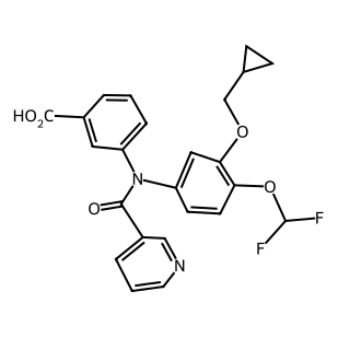 O=C(O)c1cccc(N(C(=O)c2cccnc2)c2ccc(OC(F)F)c(OCC3CC3)c2)c1